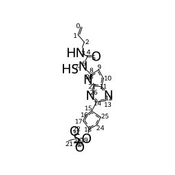 C=CCNC(=O)N(S)c1ccc2ncc(-c3ccc(OS(C)(=O)=O)cc3)nc2n1